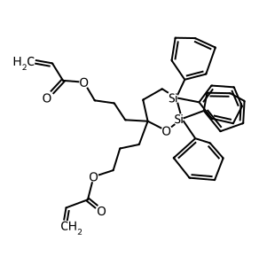 C=CC(=O)OCCCC1(CCCOC(=O)C=C)CC[Si](c2ccccc2)(c2ccccc2)[Si](c2ccccc2)(c2ccccc2)O1